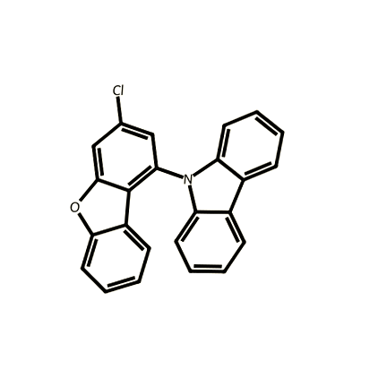 Clc1cc(-n2c3ccccc3c3ccccc32)c2c(c1)oc1ccccc12